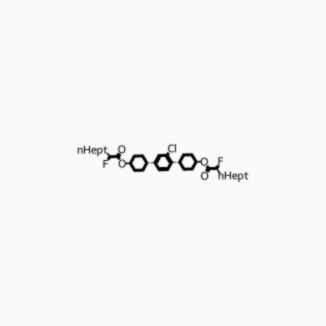 CCCCCCC[C@H](F)C(=O)O[C@H]1CC[C@H](c2ccc([C@H]3CC[C@H](OC(=O)[C@@H](F)CCCCCCC)CC3)c(Cl)c2)CC1